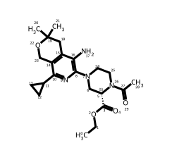 CCOC(=O)[C@@H]1CN(c2nc(C3CC3)c3c(c2N)CC(C)(C)OC3)CCN1C(C)=O